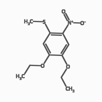 CCOc1cc(SC)c([N+](=O)[O-])cc1OCC